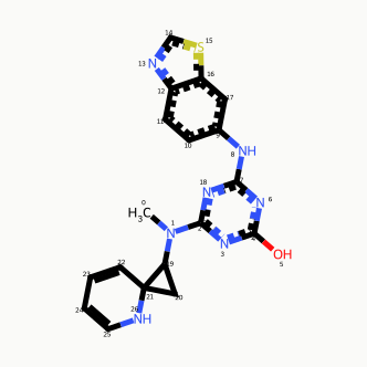 CN(c1nc(O)nc(Nc2ccc3ncsc3c2)n1)C1CC12C=CC=CN2